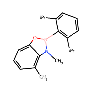 Cc1cccc2c1N(C)B(c1c(C(C)C)cccc1C(C)C)O2